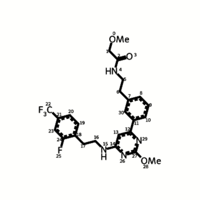 COCC(=O)NCCc1cccc(-c2cc(NCCc3ccc(C(F)(F)F)cc3F)nc(OC)n2)c1